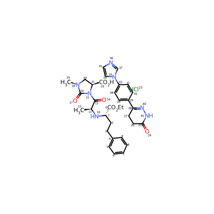 CCOC(=O)[C@H](CCc1ccccc1)N[C@@H](C)C(=O)N1C(=O)N(C)C[C@H]1C(=O)O.Cl.O=C1CCC(c2ccc(-n3ccnc3)cc2)=NN1